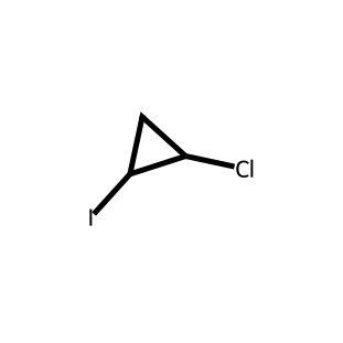 ClC1CC1I